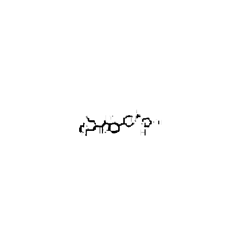 Cc1cc(-c2[nH]c3ccc(C4CCN(C(=O)[C@@H]5C[C@@H](O)CN5)CC4)cc3c2C(C)C)cc2nccn12